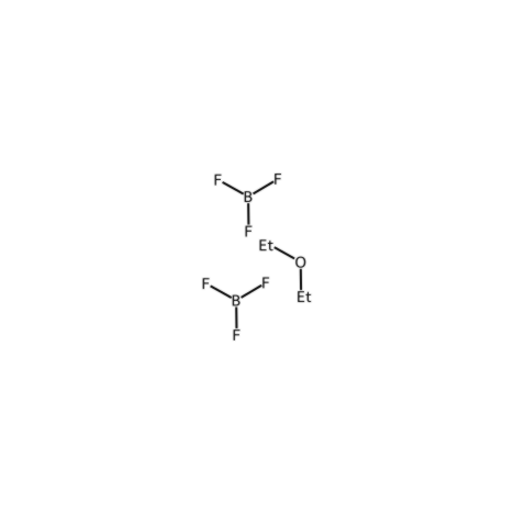 CCOCC.FB(F)F.FB(F)F